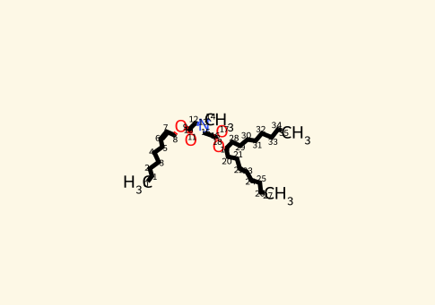 CCCCCC/C=C\COC(=O)CN(C)CC(=O)OC(CCCCCCCC)CCCCCCCC